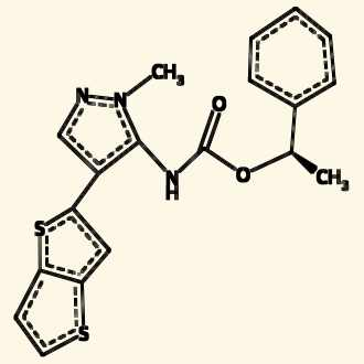 C[C@@H](OC(=O)Nc1c(-c2cc3sccc3s2)cnn1C)c1ccccc1